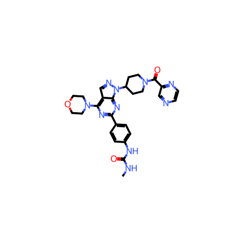 CNC(=O)Nc1ccc(-c2nc(N3CCOCC3)c3cnn(C4CCN(C(=O)c5cnccn5)CC4)c3n2)cc1